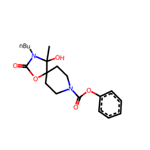 CCCCN1C(=O)OC2(CCN(C(=O)Oc3ccccc3)CC2)C1(C)O